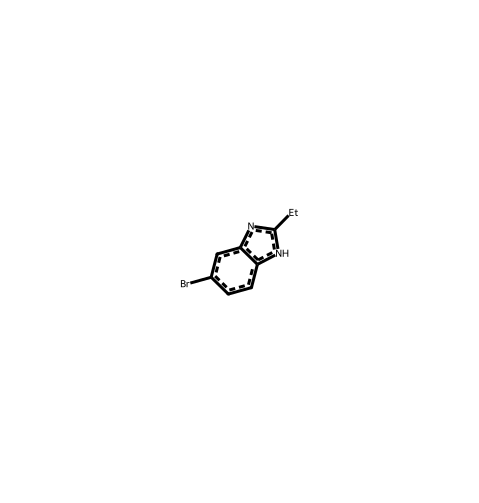 CCc1nc2cc(Br)ccc2[nH]1